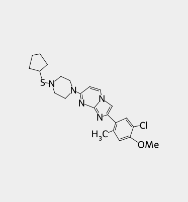 COc1cc(C)c(-c2cn3ccc(N4CCN(SC5CCCC5)CC4)nc3n2)cc1Cl